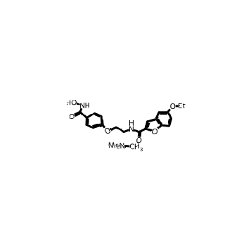 CCOc1ccc2oc(C(=O)NCCOc3ccc(C(=O)NO)cc3)cc2c1.CNC